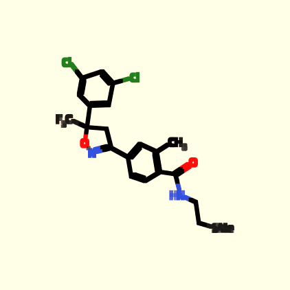 CSCCNC(=O)c1ccc(C2=NOC(c3cc(Cl)cc(Cl)c3)(C(F)(F)F)C2)cc1C